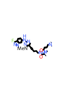 CNc1nc(Nc2ccc3c(F)nn(C)c3c2)ncc1C#CCCCNC(=O)[C@H](C)N(C)C(=O)/C=C/CN(C)C